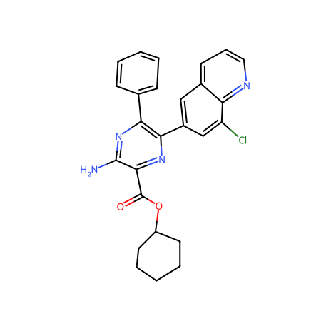 Nc1nc(-c2ccccc2)c(-c2cc(Cl)c3ncccc3c2)nc1C(=O)OC1CCCCC1